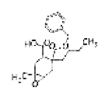 CCCCC1(C(=O)OCc2ccccc2)CC2OC2(C)CC1C(=O)O